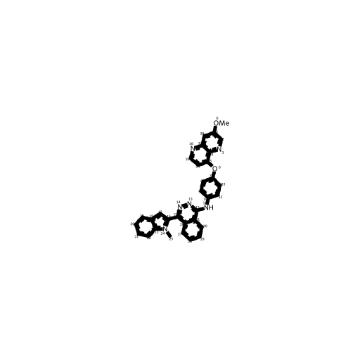 COc1cnc2c(Oc3ccc(Nc4nnc(-c5cc6ccccc6n5C)c5ccccc45)cc3)ccnc2c1